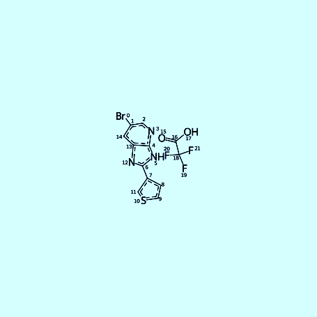 Brc1cnc2[nH]c(-c3ccsc3)nc2c1.O=C(O)C(F)(F)F